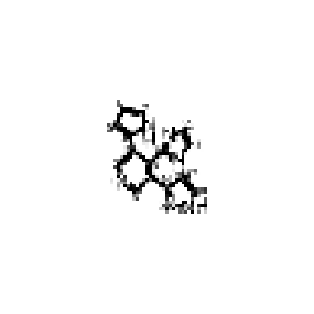 [c]1ncc(-c2ccc[nH]2)c(-c2ncc[nH]2)c1-c1cc[nH]n1